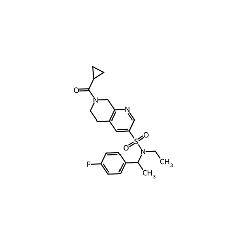 CCN(C(C)c1ccc(F)cc1)S(=O)(=O)c1cnc2c(c1)CCN(C(=O)C1CC1)C2